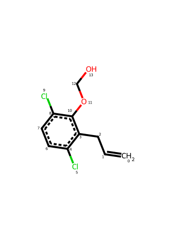 C=CCc1c(Cl)ccc(Cl)c1OCO